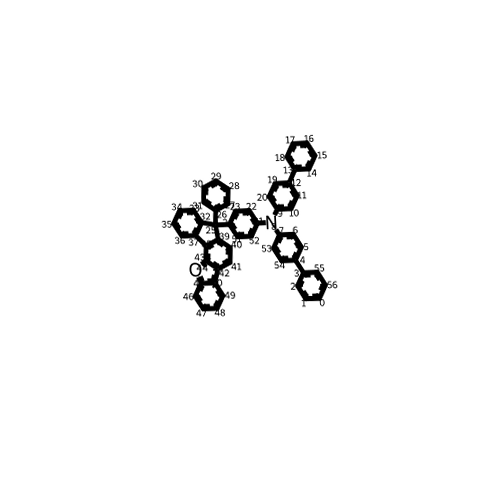 c1ccc(-c2ccc(N(c3ccc(-c4ccccc4)cc3)c3ccc(C4(c5ccccc5)c5ccccc5-c5c4ccc4c5oc5ccccc54)cc3)cc2)cc1